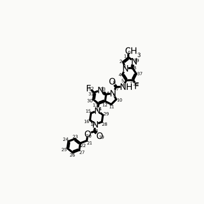 Cc1cn2cc(NC(=O)N3CCc4c(N5CCN(C(=O)OCc6ccccc6)CC5)cc(F)nc43)c(F)cc2n1